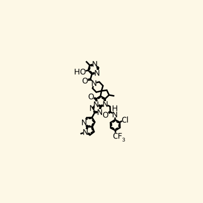 Cc1ncnc(C(=O)N2CCC3(CC2)CC(C)c2c3c(=O)n3nc(-c4cnc5c(ccn5C)c4)nc3n2CC(=O)Nc2ccc(C(F)(F)F)cc2Cl)c1O